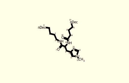 CCCCCCCCCCCCCCNC(=O)C(Cc1cn(C)cn1)NC(=O)CCCCCCCCCCCCC